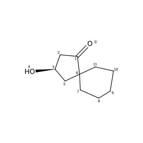 O=C1C[C@H](O)CC12CCCCC2